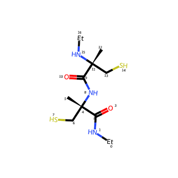 CCNC(=O)[C@](C)(CS)NC(=O)[C@@](C)(CS)NCC